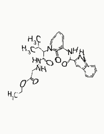 CCOC(=O)CNNC(=O)C(C(C)C)n1cccc(NC(=O)c2cc3ccccc3[nH]2)c1=O